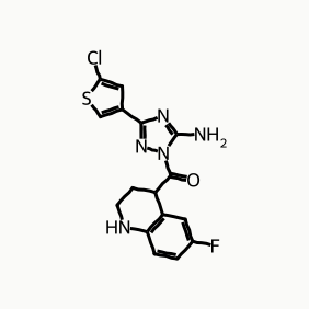 Nc1nc(-c2csc(Cl)c2)nn1C(=O)C1CCNc2ccc(F)cc21